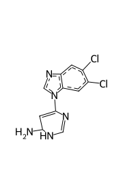 NC1C=C(n2cnc3cc(Cl)c(Cl)cc32)N=CN1